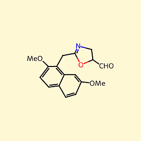 COc1ccc2ccc(OC)c(CC3=NCC(C=O)O3)c2c1